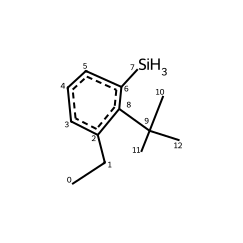 CCc1cccc([SiH3])c1C(C)(C)C